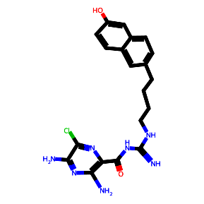 N=C(NCCCCc1ccc2cc(O)ccc2c1)NC(=O)c1nc(Cl)c(N)nc1N